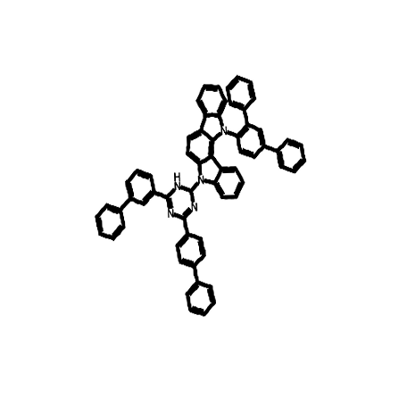 c1ccc(-c2ccc(C3=NC(n4c5ccccc5c5c6c(ccc54)c4ccccc4n6-c4ccc(-c5ccccc5)cc4-c4ccccc4)NC(c4cccc(-c5ccccc5)c4)=N3)cc2)cc1